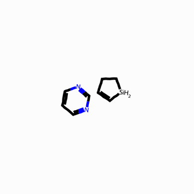 C1=C[SiH2]CC1.c1cncnc1